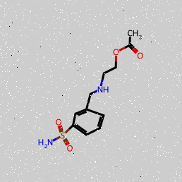 CC(=O)OCCNCc1cccc(S(N)(=O)=O)c1